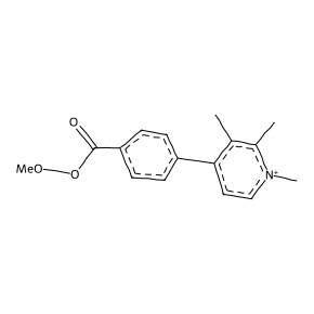 COOC(=O)c1ccc(-c2cc[n+](C)c(C)c2C)cc1